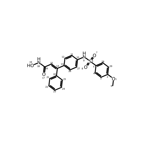 COc1ccc(S(=O)(=O)Nc2ccc(C(=CC(=O)NO)c3ccccc3)cc2)cc1